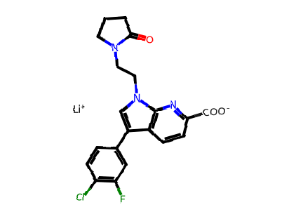 O=C([O-])c1ccc2c(-c3ccc(Cl)c(F)c3)cn(CCN3CCCC3=O)c2n1.[Li+]